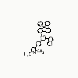 Cc1ccc(-c2ccc(-c3cc(-c4cccc5ccccc45)nc(-c4cccc5c4-c4ccccc4C5(c4ccccc4)c4ccccc4)n3)cc2)c(C)n1